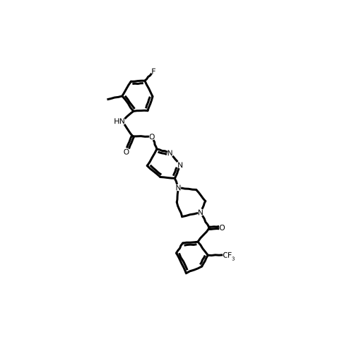 Cc1cc(F)ccc1NC(=O)Oc1ccc(N2CCN(C(=O)c3ccccc3C(F)(F)F)CC2)nn1